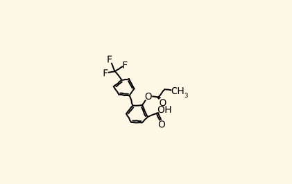 CCC(=O)Oc1c(C(=O)O)cccc1-c1ccc(C(F)(F)F)cc1